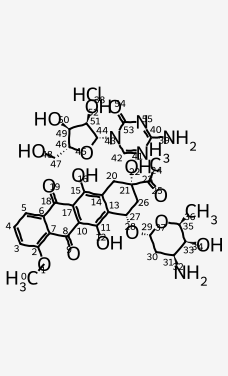 COc1cccc2c1C(=O)c1c(O)c3c(c(O)c1C2=O)C[C@@](O)(C(C)=O)C[C@@H]3O[C@H]1C[C@H](N)[C@H](O)[C@H](C)O1.Cl.Nc1ncn([C@@H]2O[C@H](CO)[C@@H](O)[C@H]2O)c(=O)n1